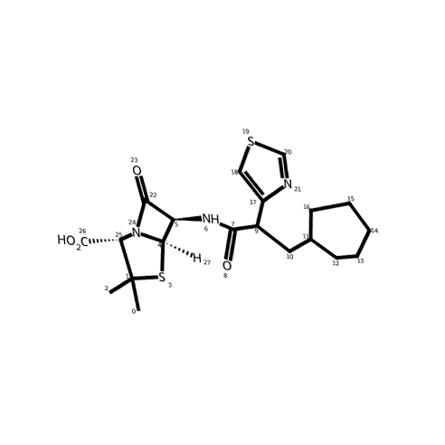 CC1(C)S[C@@H]2[C@H](NC(=O)C(CC3CCCCC3)c3cscn3)C(=O)N2[C@H]1C(=O)O